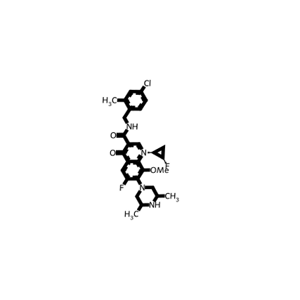 COc1c(N2CC(C)NC(C)C2)c(F)cc2c(=O)c(C(=O)NCc3ccc(Cl)cc3C)cn([C@@H]3C[C@@H]3F)c12